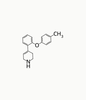 Cc1ccc(Oc2ccccc2C2=CCNCC2)cc1